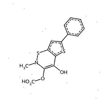 CN1Sc2cc(-c3ccccc3)sc2C(O)=C1OC(=O)O